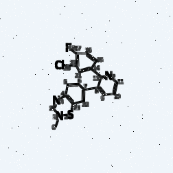 CN1C=Nc2ccc(-c3cccnc3-c3ccc(F)c(Cl)c3)cc2S1